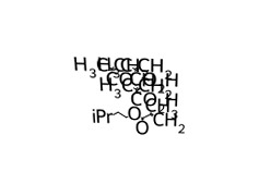 C=C(C)C(=O)O.C=C(C)C(=O)O.C=C(C)C(=O)O.C=C(C)C(=O)OCCC(C)C